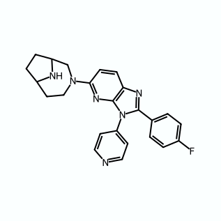 Fc1ccc(-c2nc3ccc(N4CCC5CCC(C4)N5)nc3n2-c2ccncc2)cc1